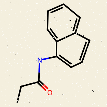 CCC(=O)[N]c1cccc2ccccc12